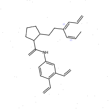 C=C/C=C(\C=C/C)CCC1CCCC1C(=C)Nc1ccc(C=C)c(C=C)c1